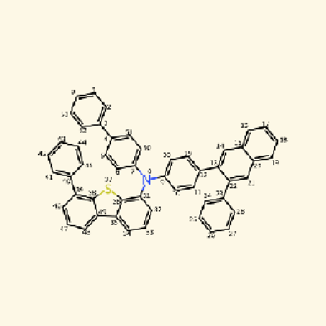 c1ccc(-c2ccc(N(c3ccc(-c4cc5ccccc5cc4-c4ccccc4)cc3)c3cccc4c3sc3c(-c5ccccc5)cccc34)cc2)cc1